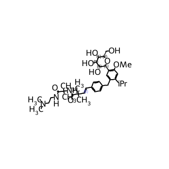 COc1cc(C(C)C)c(Cc2ccc(/C=C/C(C)(C)C(=O)NC(C)(C)C(=O)NCCN(C)C)cc2)cc1[C@@H]1O[C@H](CO)[C@@H](O)[C@H](O)[C@H]1O